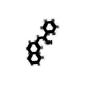 SC(Cc1ccc2ccccc2c1)c1ccccc1